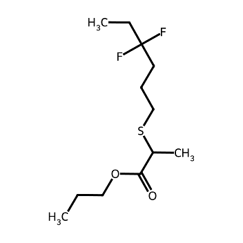 CCCOC(=O)C(C)SCCCC(F)(F)CC